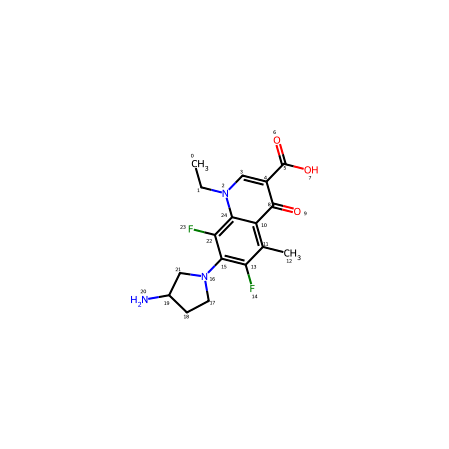 CCn1cc(C(=O)O)c(=O)c2c(C)c(F)c(N3CCC(N)C3)c(F)c21